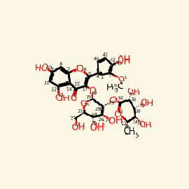 COc1cc(-c2oc3cc(O)cc(O)c3c(=O)c2O[C@@H]2O[C@H](CO)[C@@H](O)[C@H](O)[C@H]2O[C@@H]2O[C@@H](C)[C@H](O)[C@@H](O)[C@H]2O)ccc1O